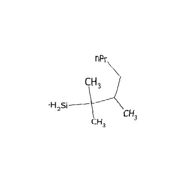 CCCCC(C)C(C)(C)[SiH2]